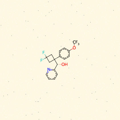 O[C@H](c1ccccn1)C1(c2ccc(OC(F)(F)F)cc2)CC(F)(F)C1